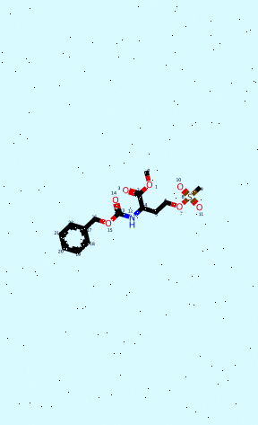 COC(=O)C(CCOS(C)(=O)=O)NC(=O)OCc1ccccc1